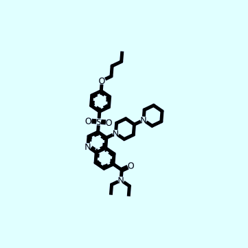 CCCCOc1ccc(S(=O)(=O)c2cnc3ccc(C(=O)N(CC)CC)cc3c2N2CCC(N3CCCCC3)CC2)cc1